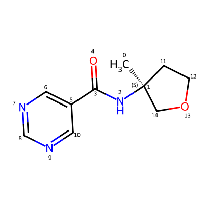 C[C@]1(NC(=O)c2cncnc2)CCOC1